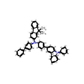 CC1(C)c2ccccc2-c2ccc(N(c3ccc(-c4ccccc4)cc3)c3ccc(-c4ccc5c(c4)c4ccccc4n5-c4ccccc4)cc3)cc21